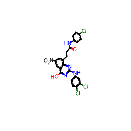 O=C(CCc1cc([N+](=O)[O-])cc2c(O)nc(Nc3ccc(Cl)c(Cl)c3)nc12)Nc1ccc(Cl)cc1